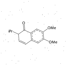 COc1cc2c(cc1OC)C(=O)C(C(C)C)C=C2